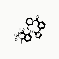 CC(C)c1nccn1-c1cccc(C(=O)N2CCC[C@H](COc3cccc4c3C(N)=NS(=O)(=O)N4)C2)c1